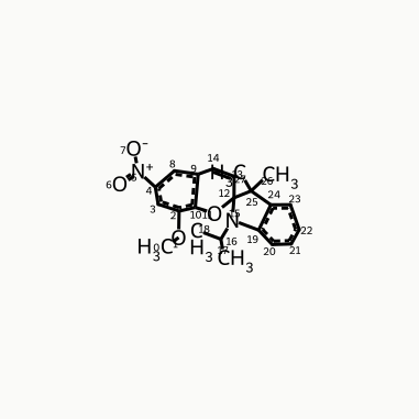 COc1cc([N+](=O)[O-])cc2c1OC1(C=C2)N(C(C)C)c2ccccc2C1(C)C